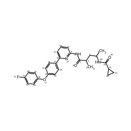 CC(CC(C)C(=O)Nc1cccc(-c2ccc(Oc3ccc(F)cc3)cc2)n1)NC(=O)C1CC1